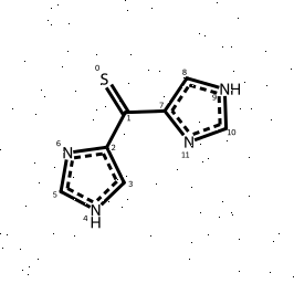 S=C(c1c[nH]cn1)c1c[nH]cn1